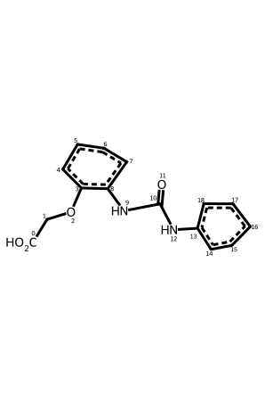 O=C(O)COc1ccccc1NC(=O)Nc1ccccc1